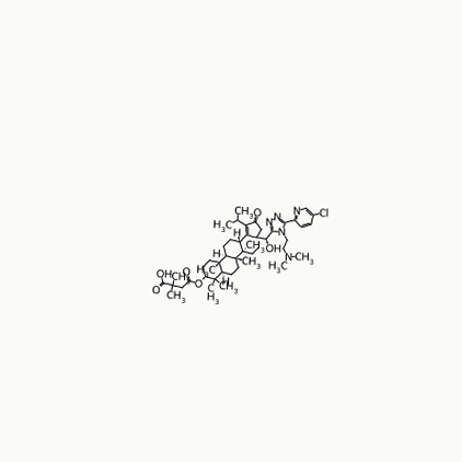 CC(C)C1=C2[C@H]3CC[C@@H]4[C@@]5(C)CC[C@H](OC(=O)CC(C)(C)C(=O)O)C(C)(C)[C@@H]5CC[C@@]4(C)[C@]3(C)CC[C@@]2([C@H](O)c2nnc(-c3ccc(Cl)cn3)n2CCN(C)C)CC1=O